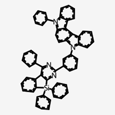 c1ccc(-c2nc(-c3cccc(-n4c5ccccc5c5c6c7ccccc7n(-c7ccccc7)c6ccc54)c3)nc3c2-c2ccccc2[Si]3(c2ccccc2)c2ccccc2)cc1